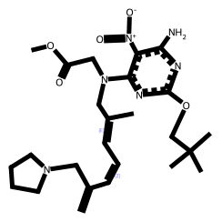 C=C(/C=C\C=C(/C)CN(CC(=O)OC)c1nc(OCC(C)(C)C)nc(N)c1[N+](=O)[O-])CN1CCCC1